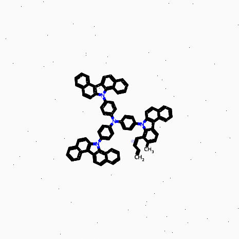 C=C/C=C\c1c(C)ccc2c3c4ccccc4ccc3n(-c3ccc(N(c4ccc(-n5c6ccc7ccccc7c6c6ccc7ccccc7c65)cc4)c4ccc(-n5c6ccc7ccccc7c6c6ccc7ccccc7c65)cc4)cc3)c12